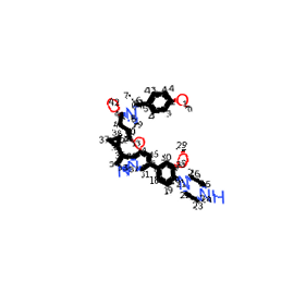 COc1ccc([C@@H](C)N2C[C@H]([C@@H](C)Oc3cc(-c4ccc(N5CCNCC5)c(OC)c4)cn4ncc(C5CC5)c34)CC2=O)cc1